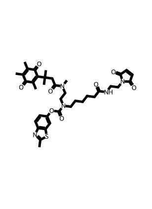 CC1=C(C)C(=O)C(C(C)(C)CC(=O)N(C)CCN(CCCCCC(=O)NCCN2C(=O)C=CC2=O)C(=O)Oc2ccc3nc(C)sc3c2)=C(C)C1=O